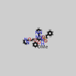 COc1ccccc1Oc1c(NS(=O)(=O)CCc2ccccc2)nc(-c2ncccn2)nc1OCCOc1ncccn1